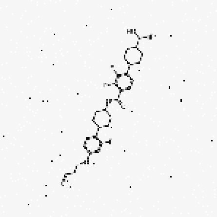 C=CCCOc1ccc(C2CCC(OC(=O)c3ccc(C4CCC(C(O)CCC)CC4)c(F)c3F)CC2)c(F)c1